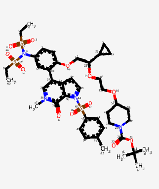 CCS(=O)(=O)N(c1ccc(OCC(OCCOC2CCN(C(=O)OC(C)(C)C)CC2)C2CC2)c(-c2cn(C)c(=O)c3c2ccn3S(=O)(=O)c2ccc(C)cc2)c1)S(=O)(=O)CC